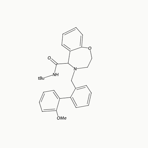 COc1ccccc1-c1ccccc1CN1CCOc2ccccc2C1C(=O)NC(C)(C)C